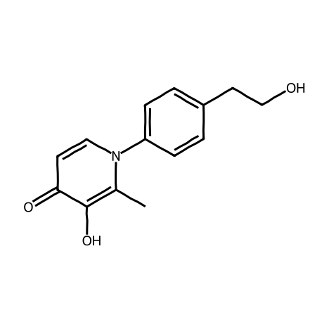 Cc1c(O)c(=O)ccn1-c1ccc(CCO)cc1